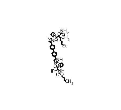 C=CCCOC(=O)N[C@H](C(=O)N1CCC[C@H]1c1ncc(-c2ccc(-c3ccc(-c4cnc([C@@H]5CCCN5C(=O)[C@@H](OC(N)=O)C(C)CC=CCC)[nH]4)cc3)cc2)[nH]1)C(C)C